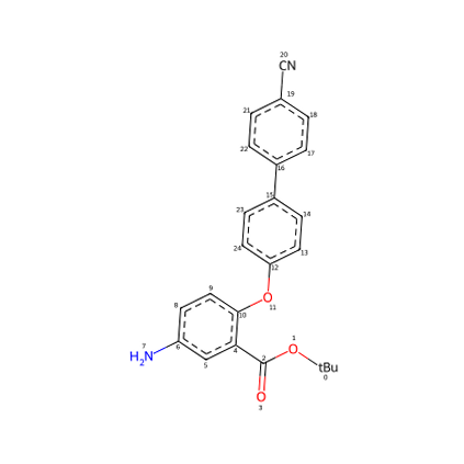 CC(C)(C)OC(=O)c1cc(N)ccc1Oc1ccc(-c2ccc(C#N)cc2)cc1